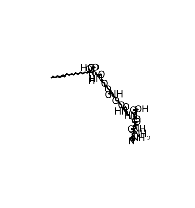 CCCCCCCCCCCCCCCCCC(=O)N[C@@H](CCC(=O)NCCOCCOCC(=O)NCCOCCOCC(=O)NCCCC[C@H](CC(=O)C(C)(C)NC(=O)[C@@H](N)Cc1cnc[nH]1)C(=O)NCC(=O)O)C(=O)O